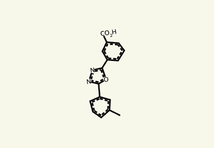 Cc1cccc(-c2nnc(-c3cccc(C(=O)O)c3)o2)c1